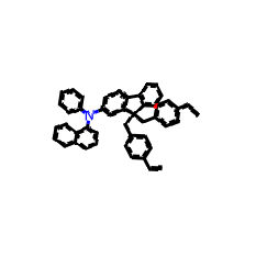 C=Cc1ccc(CC2(Cc3ccc(C=C)cc3)c3ccccc3-c3ccc(N(c4ccccc4)c4cccc5ccccc45)cc32)cc1